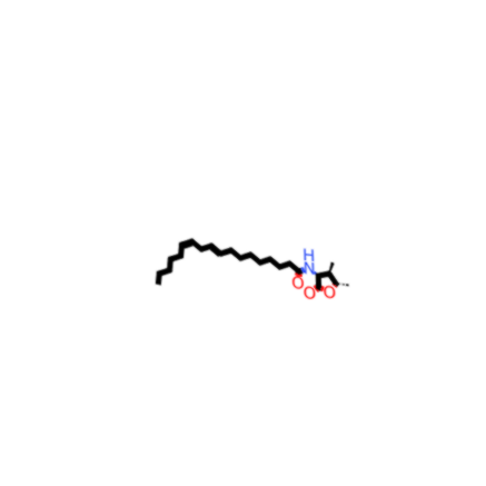 CCCCC/C=C\C/C=C/CCCCCCCC(=O)N[C@@H]1C(=O)O[C@@H](C)[C@@H]1C